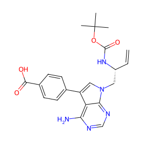 C=C[C@H](Cn1cc(-c2ccc(C(=O)O)cc2)c2c(N)ncnc21)NC(=O)OC(C)(C)C